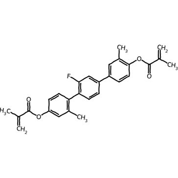 C=C(C)C(=O)Oc1ccc(-c2ccc(-c3ccc(OC(=O)C(=C)C)c(C)c3)cc2F)c(C)c1